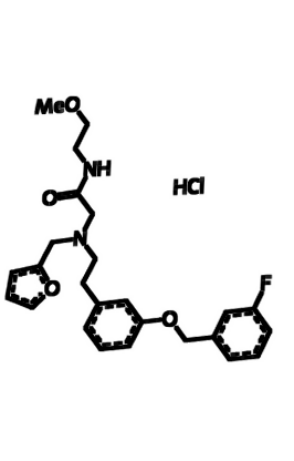 COCCNC(=O)CN(CCc1cccc(OCc2cccc(F)c2)c1)Cc1ccco1.Cl